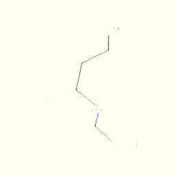 CSCC[C@H](NCC(=O)O)C(=O)O